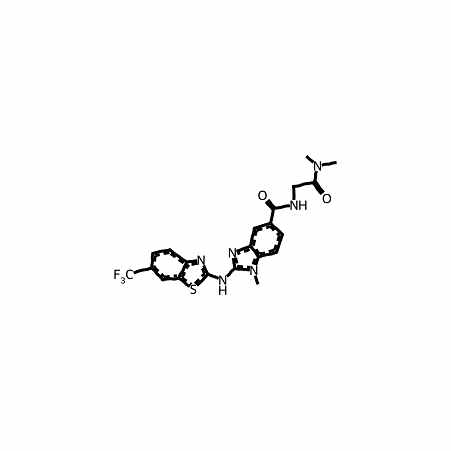 CN(C)C(=O)CNC(=O)c1ccc2c(c1)nc(Nc1nc3ccc(C(F)(F)F)cc3s1)n2C